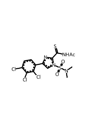 CC(=O)NC(=S)c1nc(-c2ccc(Cl)c(Cl)c2Cl)cn1S(=O)(=O)N(C)C